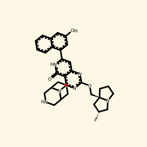 O=c1[nH]c(-c2cc(O)cc3ccccc23)cc2nc(OC[C@@]34CCCN3C[C@H](F)C4)nc(N3C4CNCC3COC4)c12